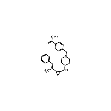 COC(=O)c1ccc(CN2CCC(NC3CC3C(C)=Cc3ccccc3)CC2)cc1